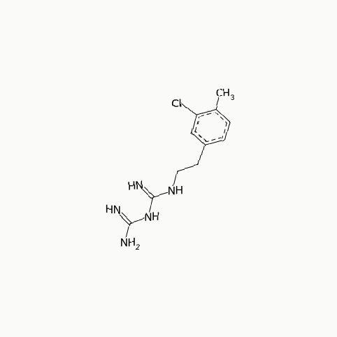 Cc1ccc(CCNC(=N)NC(=N)N)cc1Cl